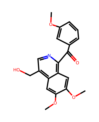 COc1cccc(C(=O)c2ncc(CO)c3cc(OC)c(OC)cc23)c1